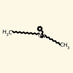 CCCCCCCCCCCCCCCCN1C=CN(CCCCCCCCCCC)C1Cc1ccccc1